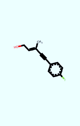 CC(C#Cc1ccc(F)cc1)=CCO